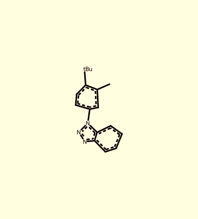 Cc1cc(-n2nnc3ccccc32)ccc1C(C)(C)C